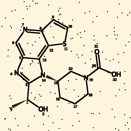 C[C@@H](O)c1nc2cnc3ccsc3c2n1[C@H]1CCCN(C(=O)O)C1